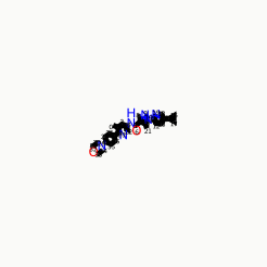 Cc1cc(NC(=O)c2cnn(-c3ccc(C4CC4)cn3)c2C)cnc1C1=CCC(N2CCOCC2)CC1